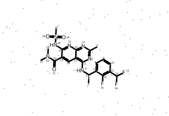 Cc1nc(N[C@H](C)c2cccc(C(F)F)c2F)c2cc(C(=O)N(C)C)c(NS(C)(=O)=O)nc2n1